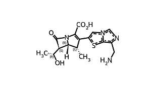 C[C@@H](O)[C@H]1C(=O)N2C(C(=O)O)=C(c3cn4cnc(CN)c4s3)[C@H](C)[C@H]12